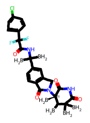 BC1C(B)(B)C(=O)NC(=O)[C@@]1(B)N1Cc2cc(C(B)(B)NC(=O)C(F)(F)c3ccc(Cl)cc3)ccc2C1=O